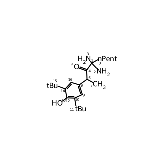 CCCCCC(N)(N)C(=O)C(C)c1cc(C(C)(C)C)c(O)c(C(C)(C)C)c1